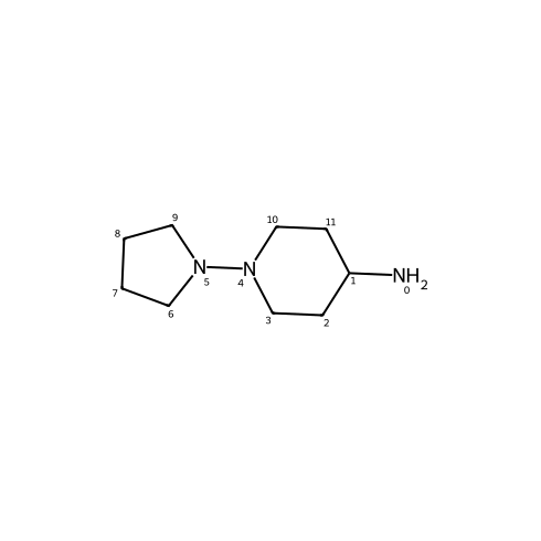 NC1CCN(N2CCCC2)CC1